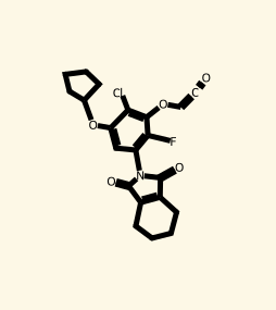 O=C=COc1c(F)c(N2C(=O)C3=C(CCCC3)C2=O)cc(OC2CCCC2)c1Cl